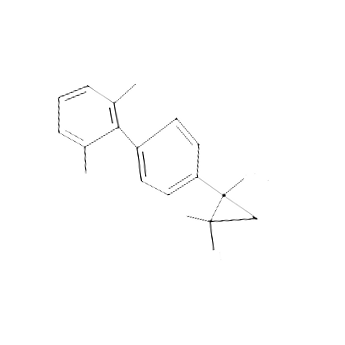 CC1(C)CC1(C(=O)O)c1ccc(-c2c(F)cccc2F)cc1